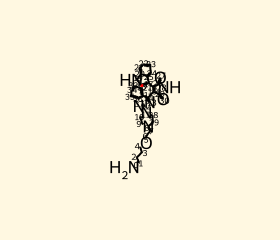 NCCCCOCCN1CCN(c2nc(C3=C(c4c[nH]c5ccccc45)C(=O)NC3=O)c3ccccc3n2)CC1